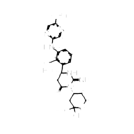 CC1(C)C[C@@H](N2C(=N)N[C@](C)(c3cccc(Nc4cnc(C(C)(C)C)cn4)c3Cl)CC2=O)CCO1